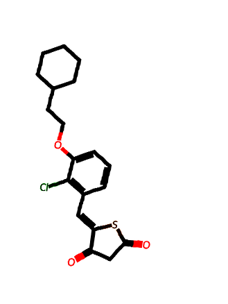 O=C1CC(=O)/C(=C/c2cccc(OCCC3CCCCC3)c2Cl)S1